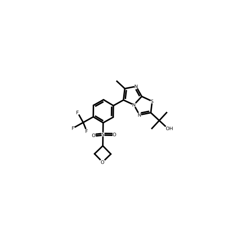 Cc1nc2sc(C(C)(C)O)nn2c1-c1ccc(C(F)(F)F)c(S(=O)(=O)C2COC2)c1